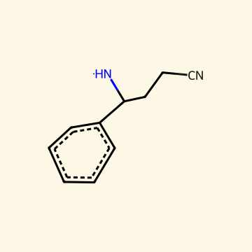 N#CCCC([NH])c1ccccc1